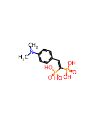 CN(C)c1ccc(C=C(P(=O)(O)O)P(=O)(O)O)cc1